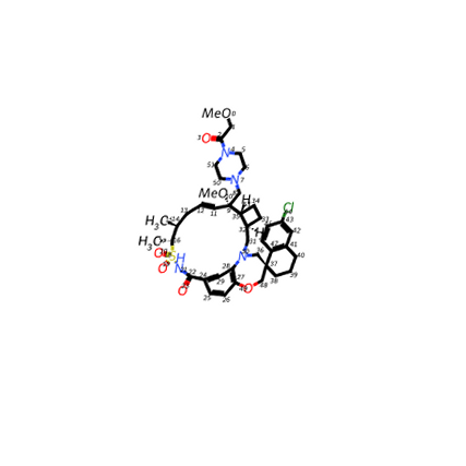 COCC(=O)N1CCN(C[C@]2(OC)/C=C/C[C@H](C)[C@@H](C)S(=O)(=O)NC(=O)c3ccc4c(c3)N(C[C@@H]3CC[C@H]32)C[C@@]2(CCCc3cc(Cl)ccc32)CO4)CC1